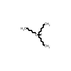 C=CCCCCOC(F)(CCCCC=C)CCCCC=C